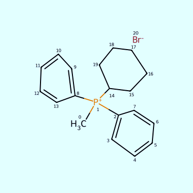 C[P+](c1ccccc1)(c1ccccc1)C1CCCCC1.[Br-]